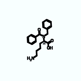 NCCCC[C@H](C(=O)O)N(Cc1ccccc1)C(=O)c1ccccc1